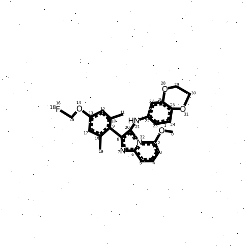 COc1cccc2nc(-c3c(C)cc(OC[18F])cc3C)c(Nc3ccc4c(c3)OCCO4)n12